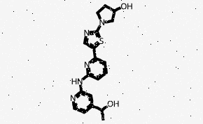 CC(O)c1ccnc(Nc2cccc(-c3cnc(N4CCC(O)C4)s3)n2)c1